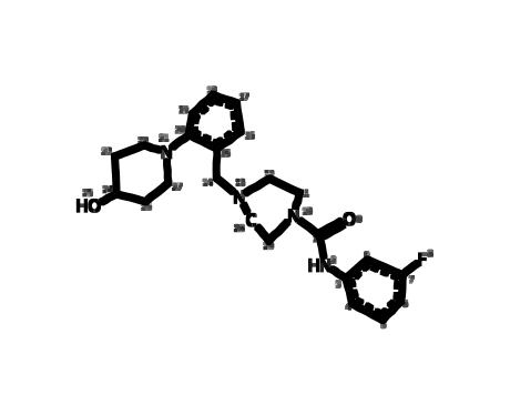 O=C(Nc1cccc(F)c1)N1CCN(Cc2ccccc2N2CCC(O)CC2)CC1